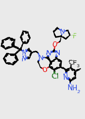 Cc1cc(N)nc(-c2cc3nc(OC[C@@]45CCCN4C[C@H](F)C5)nc4c3c(c2Cl)OCCN4Cc2cnn(C(c3ccccc3)(c3ccccc3)c3ccccc3)c2)c1C(F)(F)F